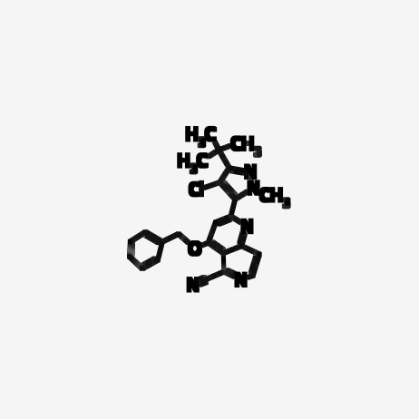 Cn1nc(C(C)(C)C)c(Cl)c1-c1cc(OCc2ccccc2)c2c(C#N)nccc2n1